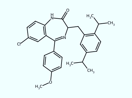 COc1ccc(C2=NC(Cc3cc(C(C)C)ccc3C(C)C)C(=O)Nc3ccc(Cl)cc32)cc1